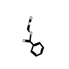 O=C=COC(=O)c1ccccc1